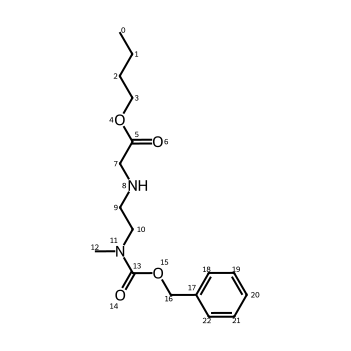 CCCCOC(=O)CNCCN(C)C(=O)OCc1ccccc1